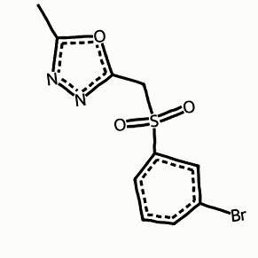 Cc1nnc(CS(=O)(=O)c2cccc(Br)c2)o1